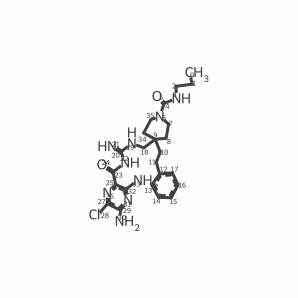 CCCNC(=O)N1CCC(CCc2ccccc2)(CNC(=N)NC(=O)c2nc(Cl)c(N)nc2N)CC1